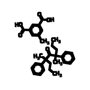 CCCC(C)(C(=O)C(C)(CCC)c1ccccc1)c1ccccc1.Cc1cc(C(=O)O)cc(C(=O)O)c1